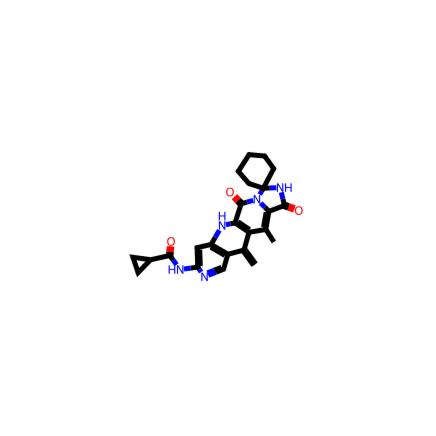 C=C1c2cnc(NC(=O)C3CC3)cc2Nc2c1c(C)c1n(c2=O)C2(CCCCC2)NC1=O